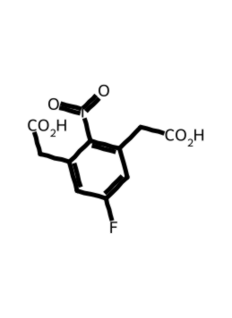 O=C(O)Cc1cc(F)cc(CC(=O)O)c1I(=O)=O